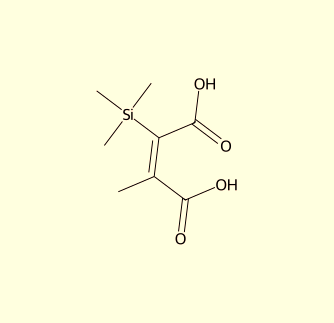 CC(C(=O)O)=C(C(=O)O)[Si](C)(C)C